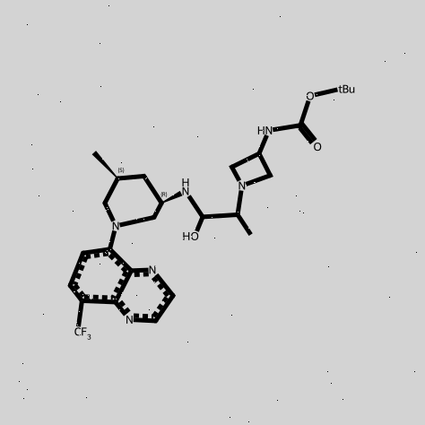 CC(C(O)N[C@@H]1C[C@H](C)CN(c2ccc(C(F)(F)F)c3nccnc23)C1)N1CC(NC(=O)OC(C)(C)C)C1